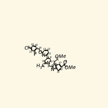 COCCn1c(CN2CC[C@@H](c3cccc(OCc4ccc(Cl)cc4F)n3)C[C@@H]2C)nc2ccc(C(=O)OC)cc21